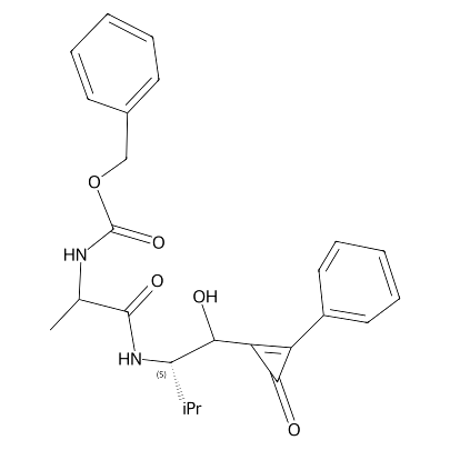 CC(NC(=O)OCc1ccccc1)C(=O)N[C@@H](C(C)C)C(O)c1c(-c2ccccc2)c1=O